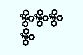 O=[P][Pd]([c]1ccccc1)([c]1ccccc1)[c]1ccccc1.O=[P][Pd]([c]1ccccc1)([c]1ccccc1)[c]1ccccc1.O=[P][Pd]([c]1ccccc1)([c]1ccccc1)[c]1ccccc1.O=[P][Pd]([c]1ccccc1)([c]1ccccc1)[c]1ccccc1